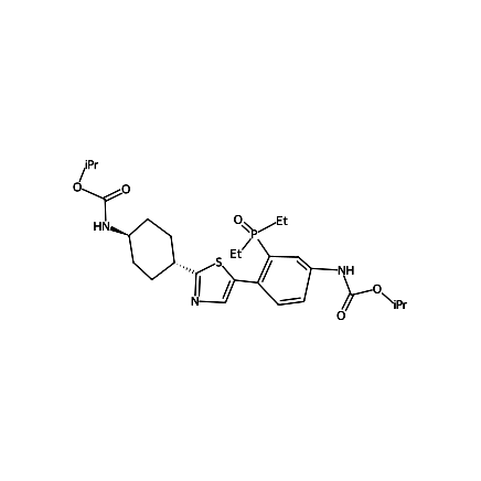 CCP(=O)(CC)c1cc(NC(=O)OC(C)C)ccc1-c1cnc([C@H]2CC[C@H](NC(=O)OC(C)C)CC2)s1